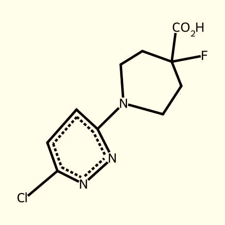 O=C(O)C1(F)CCN(c2ccc(Cl)nn2)CC1